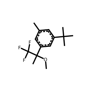 COC(C)(c1cc(C)cc(C(C)(C)C)c1)C(F)(F)F